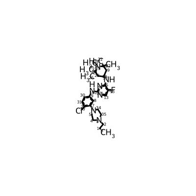 CCCN1CCN(c2cc(Nc3ncc(F)c(NC4CC(C)(C)N(C)C(C)(C)C4)n3)ccc2Cl)CC1